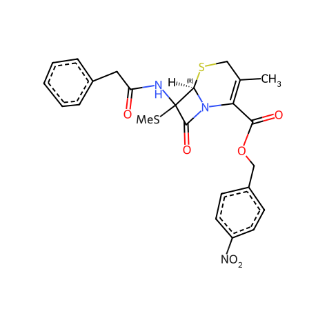 CSC1(NC(=O)Cc2ccccc2)C(=O)N2C(C(=O)OCc3ccc([N+](=O)[O-])cc3)=C(C)CS[C@@H]21